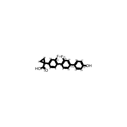 O=C(O)C1(c2ccc(-c3ccc(-c4ccc(O)cc4)cc3F)c(F)c2)CC1